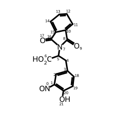 O=Nc1cc(CC(C(=O)O)N2C(=O)c3ccccc3C2=O)ccc1O